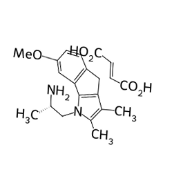 COc1ccc2c(c1)-c1c(c(C)c(C)n1C[C@H](C)N)C2.O=C(O)C=CC(=O)O